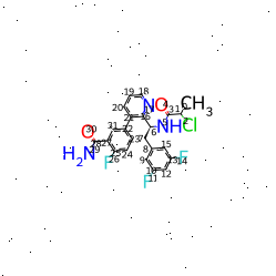 CC(Cl)C(=O)N[C@@H](Cc1cc(F)cc(F)c1)c1ncccc1-c1ccc(F)c(C(N)=O)c1